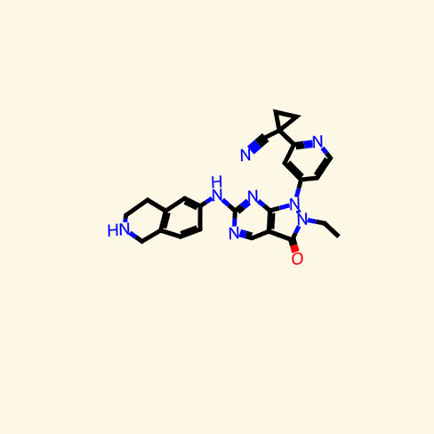 CCn1c(=O)c2cnc(Nc3ccc4c(c3)CCNC4)nc2n1-c1ccnc(C2(C#N)CC2)c1